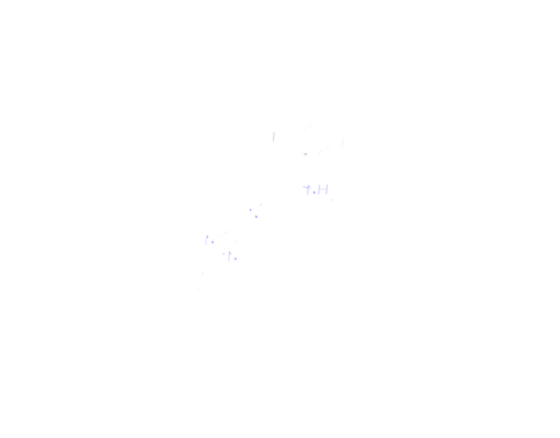 N[C@H]1C[C@@H](N2Cc3nc4n(c3C2)CCC[S+]4[O-])CO[C@@H]1c1cc(F)ccc1F